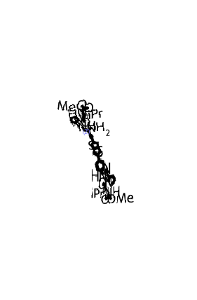 COC(=O)N[C@@H](C(=O)N1CCCC1c1nc2cc(-c3cc4sc(C#C/C(N)=C/NC[C@H]5CCCN5C(=O)[C@H](NC(=O)OC)C(C)C)cc4s3)ccc2[nH]1)C(C)C